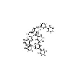 c1ccc(-c2cccc(-c3ccc4c5ccc6c7ccccc7sc6c5n(-c5cccc(-c6nc(-c7ccccc7)nc(-c7ccccc7)n6)c5)c4c3)c2)cc1